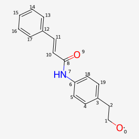 [O]CCc1ccc(NC(=O)C=Cc2ccccc2)cc1